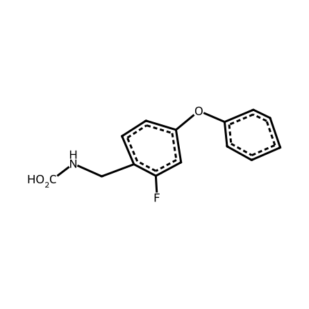 O=C(O)NCc1ccc(Oc2ccccc2)cc1F